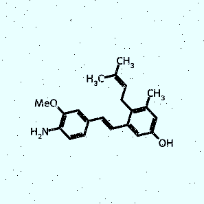 COc1cc(/C=C/c2cc(O)cc(C)c2CC=C(C)C)ccc1N